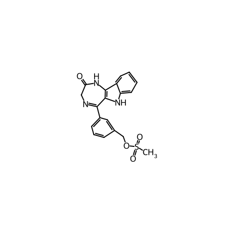 CS(=O)(=O)OCc1cccc(C2=NCC(=O)Nc3c2[nH]c2ccccc32)c1